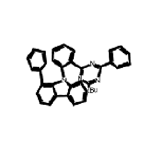 CC(C)(C)c1nc(-c2ccccc2)nc(-c2ccccc2-n2c3ccccc3c3cccc(-c4ccccc4)c32)n1